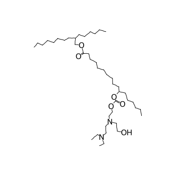 CCCCCCCCC(CCCCCC)COC(=O)CCCCCCCCCC(CCCCCC)OC(=O)OCCN(CCO)CCN(CC)CC